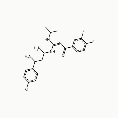 CC(C)N/C(=N/C(=O)c1ccc(F)c(F)c1)NC(N)CC(N)c1ccc(Cl)cc1